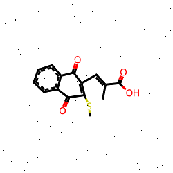 CSC1=C(C=C(C)C(=O)O)C(=O)c2ccccc2C1=O